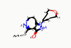 COc1nccc2c1c(=O)[nH]n2C1CCOCC1